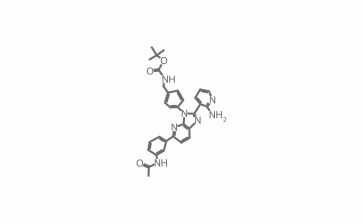 CC(=O)Nc1cccc(-c2ccc3nc(-c4cccnc4N)n(-c4ccc(CNC(=O)OC(C)(C)C)cc4)c3n2)c1